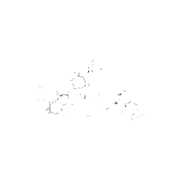 Cc1nc(NCC(F)(F)F)nc(NC2C[C@H](CS(=O)(=O)c3ccc(F)cc3)[C@@H](O)[C@H]2O)c1-c1nc2c(C3CC3)nccc2s1